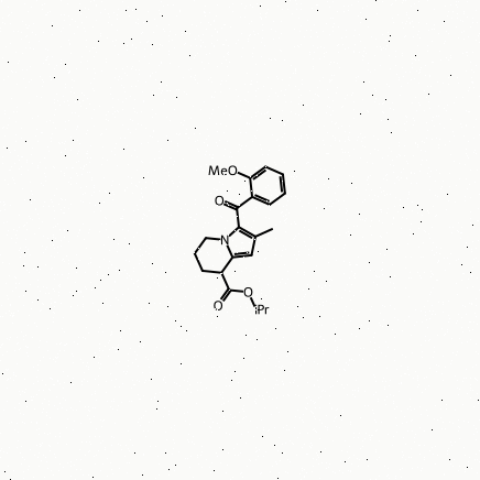 COc1ccccc1C(=O)c1c(C)cc2n1CCCC2C(=O)OC(C)C